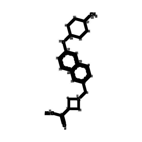 COC(=O)C1CN(Cc2ccc3cc(OC4CCC(C)CC4)ccc3c2)C1